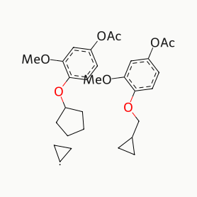 COc1cc(OC(C)=O)ccc1OC1CCCC1.COc1cc(OC(C)=O)ccc1OCC1CC1.[CH]1CC1